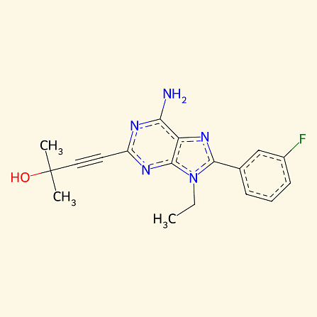 CCn1c(-c2cccc(F)c2)nc2c(N)nc(C#CC(C)(C)O)nc21